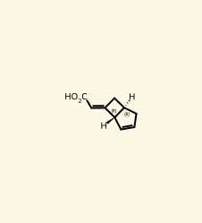 O=C(O)C=C1C[C@H]2CC=C[C@H]12